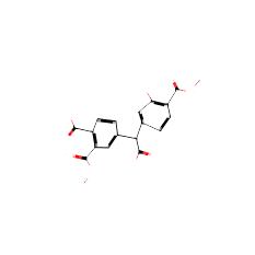 COC(=O)c1ccc(C(C(=O)O)c2ccc(C(=O)O)c(C(=O)OC)c2)cc1O